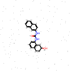 O=C(Nc1ccc2ccccc2c1)Nc1cccc2c1CC(O)CC2